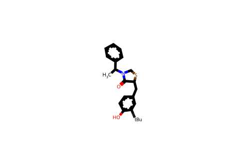 CC(c1ccccc1)N1CSC(Cc2ccc(O)c(C(C)(C)C)c2)C1=O